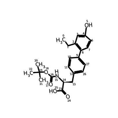 CCc1cc(O)ccc1-c1ccc(C[C@H](NC(=O)OC(C)(C)C)C(=O)O)cc1